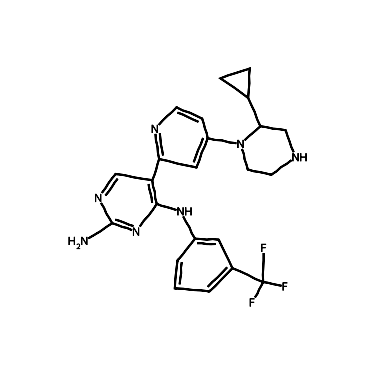 Nc1ncc(-c2cc(N3CCNCC3C3CC3)ccn2)c(Nc2cccc(C(F)(F)F)c2)n1